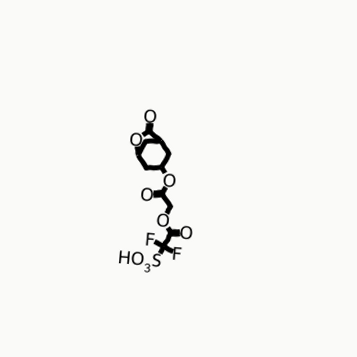 O=C(COC(=O)C(F)(F)S(=O)(=O)O)OC1CC2CC(C1)C(=O)O2